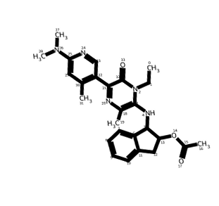 CCn1c(NC2c3ccccc3CC2OC(C)=O)c(C)nc(-c2cnc(N(C)C)cc2C)c1=O